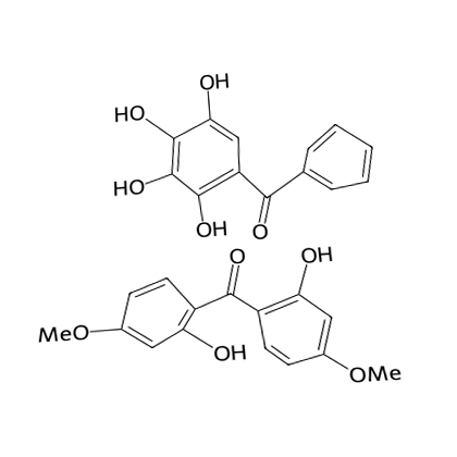 COc1ccc(C(=O)c2ccc(OC)cc2O)c(O)c1.O=C(c1ccccc1)c1cc(O)c(O)c(O)c1O